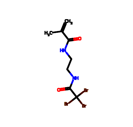 C=C(C)C(=O)NCCNC(=O)C(Br)(Br)Br